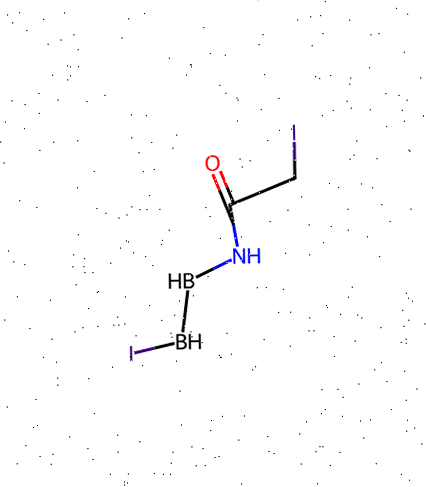 O=C(CI)NBBI